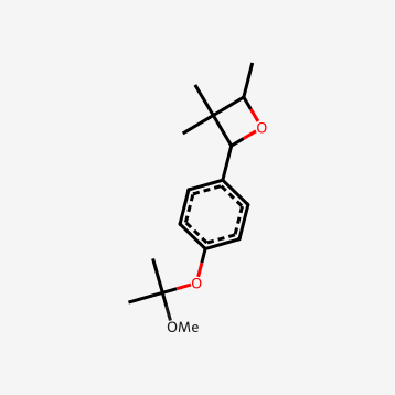 COC(C)(C)Oc1ccc(C2OC(C)C2(C)C)cc1